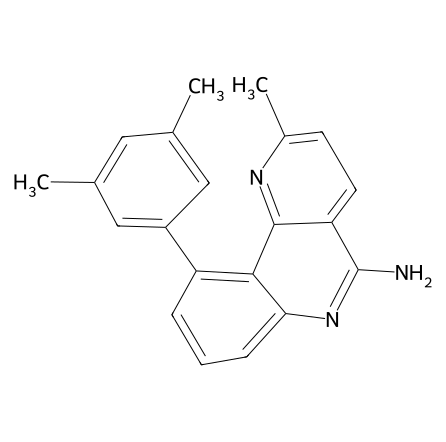 Cc1cc(C)cc(-c2cccc3nc(N)c4ccc(C)nc4c23)c1